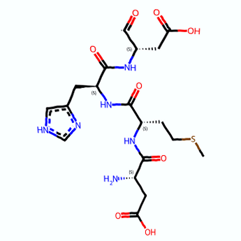 CSCC[C@H](NC(=O)[C@@H](N)CC(=O)O)C(=O)N[C@@H](Cc1c[nH]cn1)C(=O)N[C@H]([C]=O)CC(=O)O